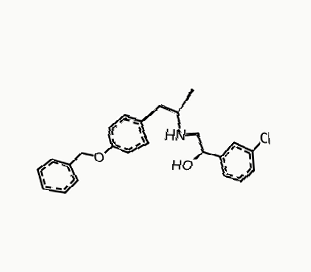 C[C@H](Cc1ccc(OCc2ccccc2)cc1)NC[C@H](O)c1cccc(Cl)c1